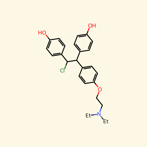 CCN(CC)CCOc1ccc(C(c2ccc(O)cc2)C(Cl)c2ccc(O)cc2)cc1